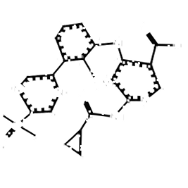 CCC(=O)c1cnc(NC(=O)C2CC2)cc1Nc1cccc(-c2cnc(P(C)(C)=O)cn2)c1OC